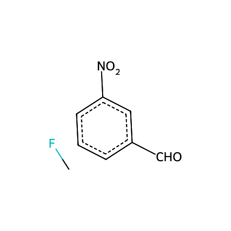 CF.O=Cc1cccc([N+](=O)[O-])c1